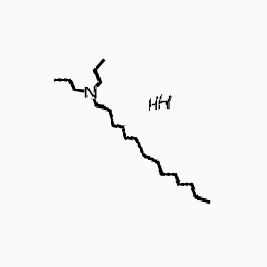 CCCCCCCCCCCCCCN(CCC)CCC.[HH]